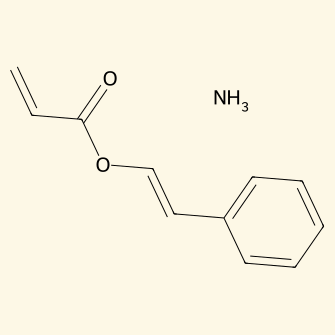 C=CC(=O)OC=Cc1ccccc1.N